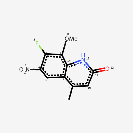 COc1c(F)c([N+](=O)[O-])cc2c(C)cc(=O)[nH]c12